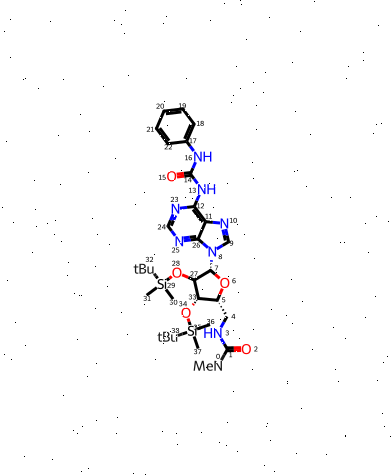 CNC(=O)NC[C@H]1O[C@@H](n2cnc3c(NC(=O)Nc4ccccc4)ncnc32)C(O[Si](C)(C)C(C)(C)C)[C@H]1O[Si](C)(C)C(C)(C)C